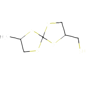 CC1CSC2(SCC(CS)S2)S1